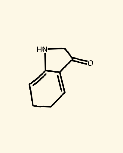 O=C1CNC2=CCCC=C12